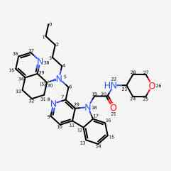 CCCCCN(Cc1nccc2c3ccccc3n(CC(=O)NC3CCOCC3)c12)[C@H]1CCCc2cccnc21